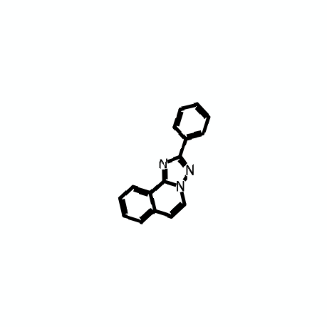 c1ccc(-c2nc3c4ccccc4ccn3n2)cc1